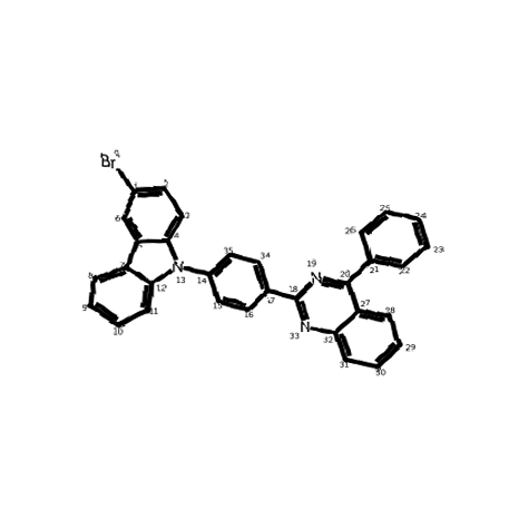 Brc1ccc2c(c1)c1ccccc1n2-c1ccc(-c2nc(-c3ccccc3)c3ccccc3n2)cc1